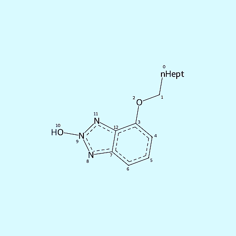 CCCCCCCCOc1cccc2nn(O)nc12